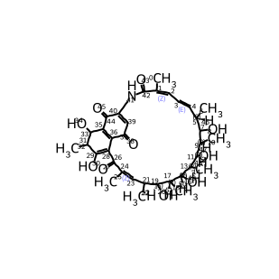 C/C1=C/C=C/[C@H](C)C(O)[C@@H](C)[C@@H](O)[C@@H](C)[C@H](O)[C@H](C)[C@@H](O)C(C)/C=C(/C)C(=O)C2=C(O)C(C)C(O)C3=C2C(=O)C=C(NC1=O)C3=O